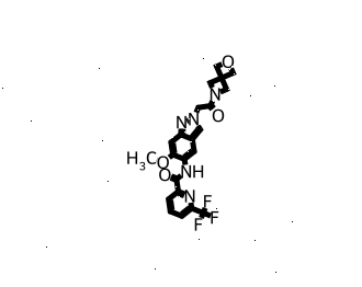 COc1cc2nn(CC(=O)N3CC4(COC4)C3)cc2cc1NC(=O)c1cccc(C(F)(F)F)n1